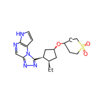 CC[C@@H]1C[C@H](OC2CCS(=O)(=O)CC2)C[C@@H]1c1nnc2cnc3[nH]ccc3n12